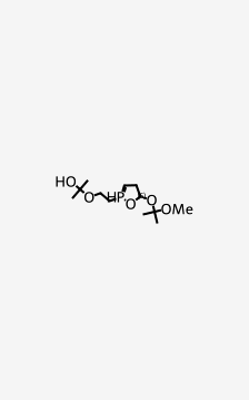 COC(C)(C)O[C@@H]1CC=[PH](CCOC(C)(C)O)O1